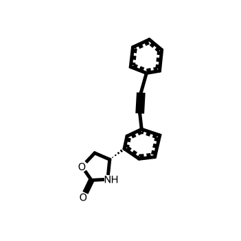 O=C1N[C@@H](c2cccc(C#Cc3ccccc3)c2)CO1